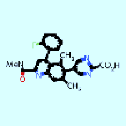 CNC(=O)c1cc(-c2ccccc2F)c2c(C)c(-c3cnc(C(=O)O)nc3)c(C)cc2n1